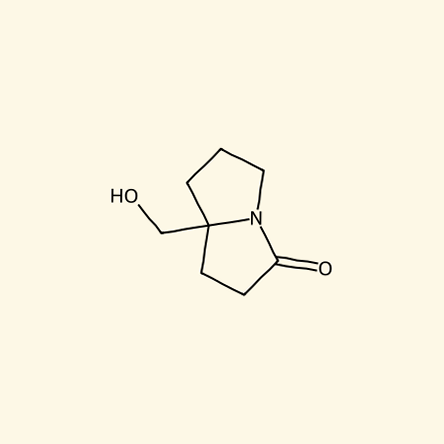 O=C1CCC2(CO)CCCN12